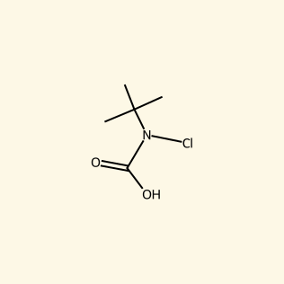 CC(C)(C)N(Cl)C(=O)O